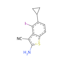 N#Cc1c(N)sc2ccc(C3CC3)c(I)c12